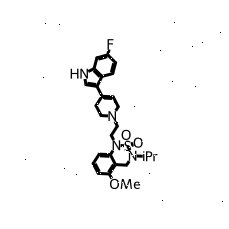 COc1cccc2c1CN(C(C)C)S(=O)(=O)N2CCN1CC=C(c2c[nH]c3cc(F)ccc23)CC1